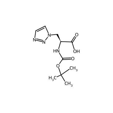 CC(C)(C)OC(=O)N[C@@H](Cn1ccnn1)C(=O)O